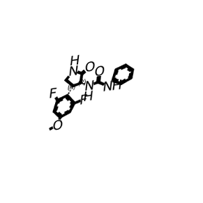 COc1cc(F)c([C@@H]2CNC(=O)[C@@H]2NC(=O)Nc2ccccc2)c(F)c1